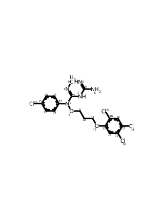 CN=C(NC(=N)N)N(OCCCOc1cc(Cl)c(Cl)cc1Cl)c1ccc(Cl)cc1